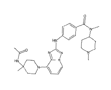 CC(=O)NC1(C)CCN(c2cccn3nc(Nc4ccc(C(=O)N(C)C5CCN(C)CC5)cc4)nc23)CC1